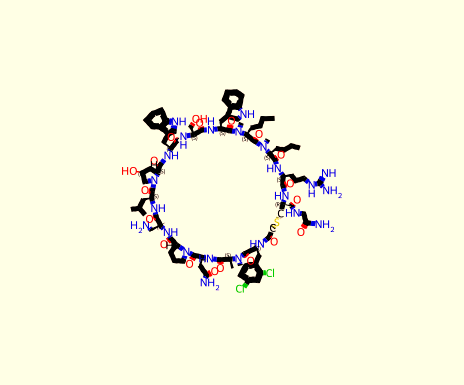 CCCC[C@H]1C(=O)N(C)[C@@H](CCCC)C(=O)N[C@@H](CCCNC(=N)N)C(=O)N[C@H](C(=O)NCC(N)=O)CSCC(=O)N[C@@H](Cc2ccc(Cl)cc2Cl)C(=O)N(C)[C@@H](C)C(=O)N[C@@H](CC(N)=O)C(=O)N2CCC[C@H]2C(=O)N[C@@H](CN)C(=O)N[C@@H](CC(C)C)C(=O)N2C[C@H](O)C[C@H]2C(=O)N[C@@H](Cc2c[nH]c3ccccc23)C(=O)N[C@@H](CO)C(=O)N[C@@H](CC2CNc3ccccc32)C(=O)N1C